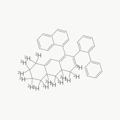 [2H]C1=C(c2ccccc2-c2ccccc2)C(c2cccc3ccccc23)=C2C=C3C([2H])([2H])C([2H])([2H])C([2H])([2H])C([2H])([2H])C3([2H])C([2H])([2H])C2([2H])C1([2H])[2H]